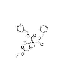 CCOC(=O)CN1C[C@@H](C(=O)OCc2ccccc2)N(C(=O)OCc2ccccc2)C1=O